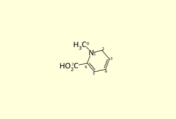 CN1CC=CC=C1C(=O)O